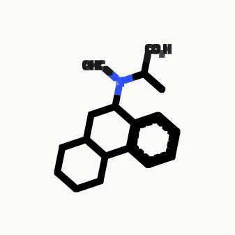 CC(C(=O)O)N(C=O)C1CC2CCCCC2c2ccccc21